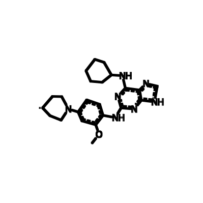 COc1cc(N2CC[CH]CC2)ccc1Nc1nc(NC2CCCCC2)c2nc[nH]c2n1